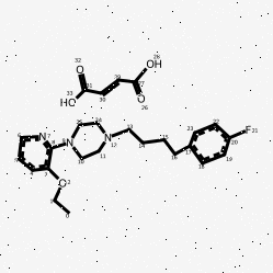 CCOc1cccnc1N1CCN(CCCCc2ccc(F)cc2)CC1.O=C(O)C=CC(=O)O